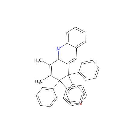 CC1=C(C)C(c2ccccc2)(c2ccccc2)C(c2ccccc2)(c2ccccc2)c2cc3ccccc3nc21